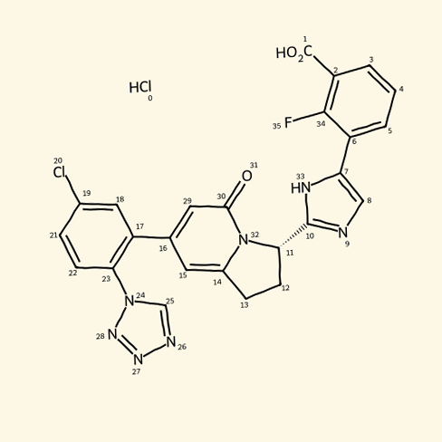 Cl.O=C(O)c1cccc(-c2cnc([C@@H]3CCc4cc(-c5cc(Cl)ccc5-n5cnnn5)cc(=O)n43)[nH]2)c1F